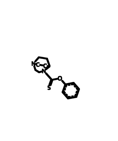 S=C(Oc1ccccc1)N1CCN2CCC1CC2